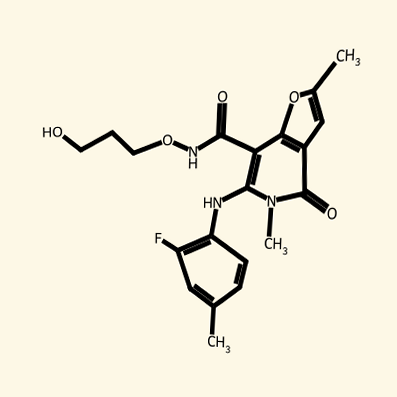 Cc1ccc(Nc2c(C(=O)NOCCCO)c3oc(C)cc3c(=O)n2C)c(F)c1